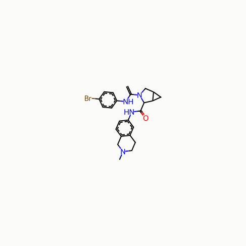 C=C(Nc1ccc(Br)cc1)N1CC2CC2C1C(=O)Nc1ccc2c(c1)CCN(C)C2